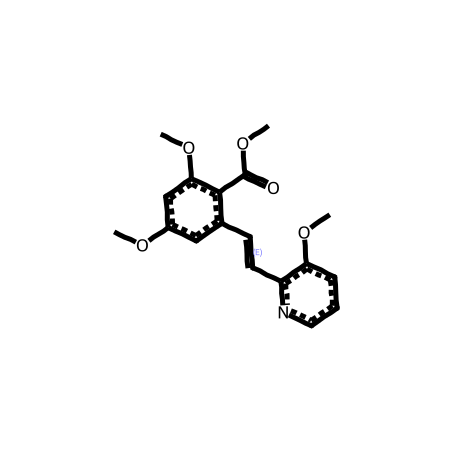 COC(=O)c1c(/C=C/c2ncccc2OC)cc(OC)cc1OC